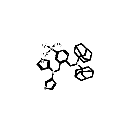 C[Si](C)(C)c1ccc(CP(C23CC4CC(CC(C4)C2)C3)C23CC4CC(CC(C4)C2)C3)c(CP(c2cc[nH]c2)c2cc[nH]c2)c1